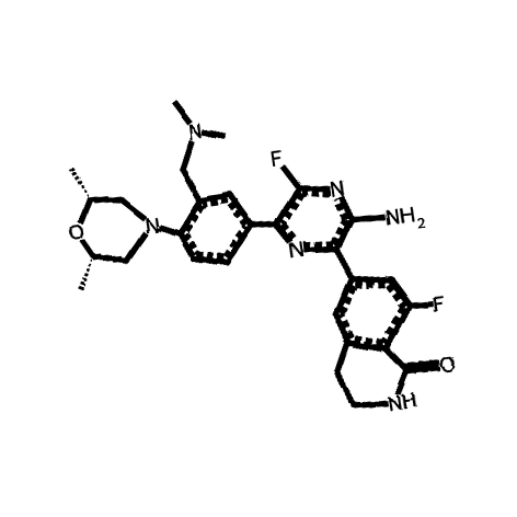 C[C@@H]1CN(c2ccc(-c3nc(-c4cc(F)c5c(c4)CCNC5=O)c(N)nc3F)cc2CN(C)C)C[C@H](C)O1